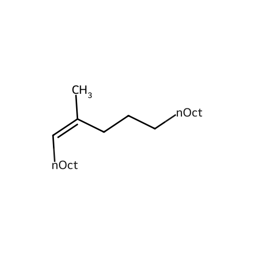 CCCCCCCCC=C(C)CCCCCCCCCCC